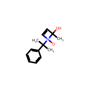 CC1(O)C=C[N+]1([O-])C(C)(C)c1ccccc1